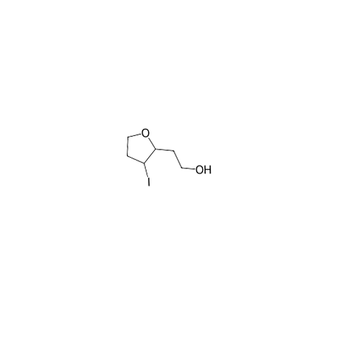 OCCC1OCCC1I